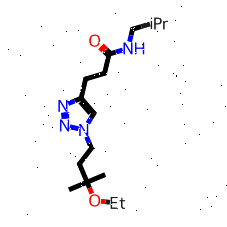 CCOC(C)(C)CCn1cc(CCC(=O)NCC(C)C)nn1